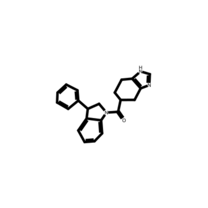 O=C(C1CCc2[nH]cnc2C1)N1CC(c2ccccc2)c2ccccc21